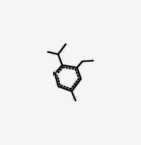 CCc1cc(C)cnc1C(C)C